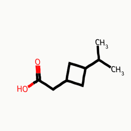 CC(C)C1CC(CC(=O)O)C1